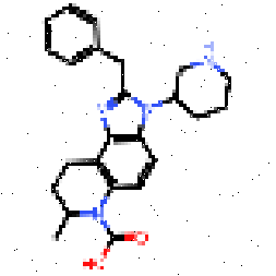 CC1CCc2c(ccc3c2nc(Cc2ccccc2)n3C2CCCNC2)N1C(=O)O